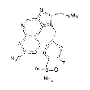 CSCc1nc2cnc3nc(C)ccc3c2n1Cc1ccc(S(N)(=O)=O)c(F)c1